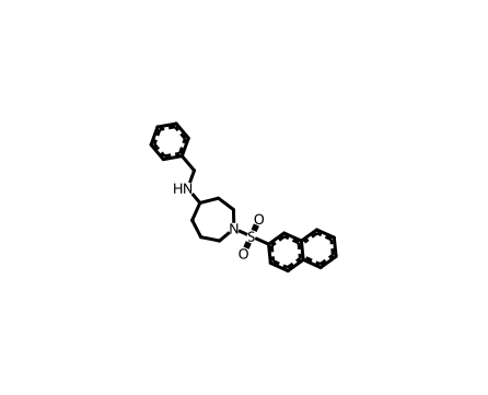 O=S(=O)(c1ccc2ccccc2c1)N1CCCC(NCc2ccccc2)CC1